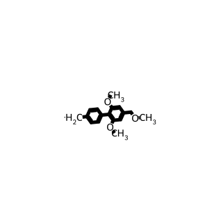 [CH2]c1ccc(-c2c(OC)cc(COC)cc2OC)cc1